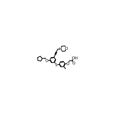 Cc1cc(Sc2cc(C#CCN3CCOCC3)cc(OCC3CCCC3)c2)ccc1OCC(=O)O